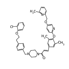 Cc1cccc(COc2ccc(Oc3c(C)cc(C=CC(=O)N4CCN(Cc5ccc(CCOc6ccccc6Cl)cc5)CC4)cc3C)nc2)n1